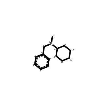 CB(Cc1ccccc1)C1CCCCC1